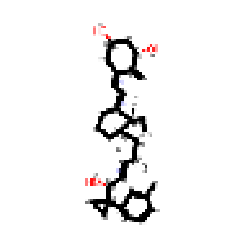 C=C1/C(=C\C=C2/CCC[C@]3(C)[C@@H]([C@H](C)/C=C/[C@@H](O)C4(c5cccc(C)c5)CC4)CC[C@@H]23)C[C@@H](O)C[C@@H]1O